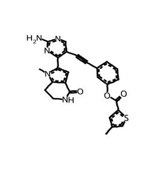 Cc1csc(C(=O)Oc2cccc(C#Cc3cnc(N)nc3-c3cc4c(n3C)CCNC4=O)c2)c1